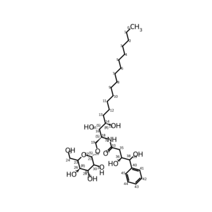 CCCCCCCCCCCCCC[C@@H](O)[C@@H](O)[C@H](CO[C@H]1OC(CO)[C@H](O)[C@H](O)C1O)NC(=O)CC(O)C(O)c1ccccc1